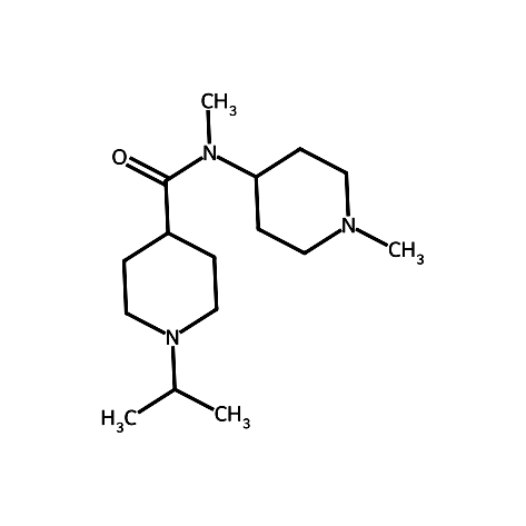 CC(C)N1CCC(C(=O)N(C)C2CCN(C)CC2)CC1